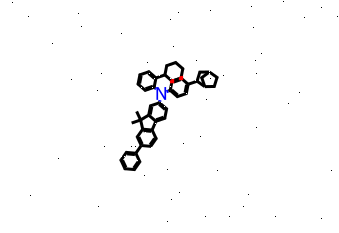 CC1(C)c2cc(-c3ccccc3)ccc2-c2ccc(N(c3ccc(C4CC5CCC4C5)cc3)c3ccccc3C3CCCCC3)cc21